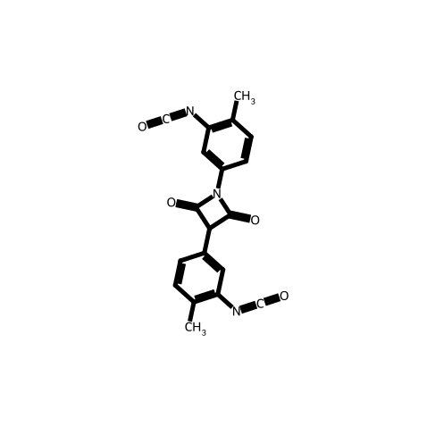 Cc1ccc(C2C(=O)N(c3ccc(C)c(N=C=O)c3)C2=O)cc1N=C=O